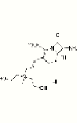 C[N+](C/C=C/C1=C(C(=O)[O-])N2C(=O)[C@@H](N)[C@H]2SC1)(CCO)CCO.I